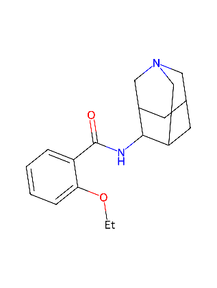 CCOc1ccccc1C(=O)NC1C2CC3CC1CN(C3)C2